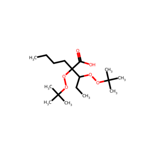 CCCCC(OOC(C)(C)C)(C(=O)O)C(CC)OOC(C)(C)C